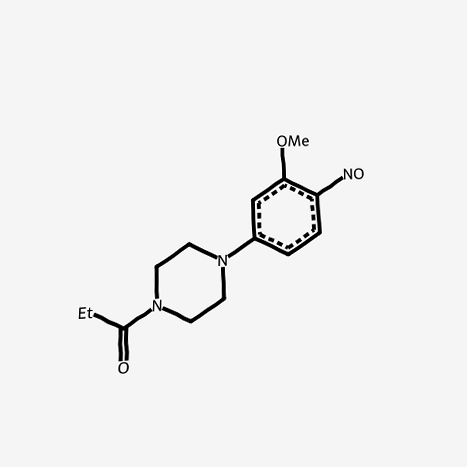 CCC(=O)N1CCN(c2ccc(N=O)c(OC)c2)CC1